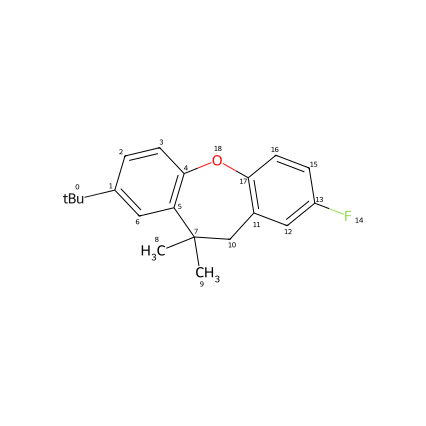 CC(C)(C)c1ccc2c(c1)C(C)(C)Cc1cc(F)ccc1O2